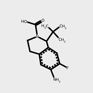 CC(C)(C)C1c2cc(F)c(N)cc2CCN1C(=O)O